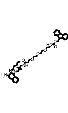 CCCCc1nc2c(N)cc3ccccc3c2n1CC(C)(C)CNC(=O)CCOCCOCCOCCNC(=O)OCC1c2ccccc2-c2ccccc21